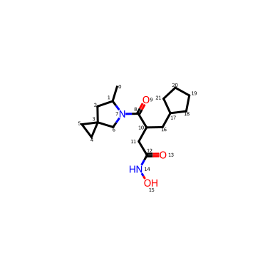 CC1CC2(CC2)CN1C(=O)C(CC(=O)NO)CC1CCCC1